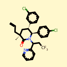 C=CC[C@@]1(C)C[C@H](c2cccc(Cl)c2)[C@@H](c2ccc(Cl)cc2)N(C(CC(F)(F)F)c2ccccn2)C1=O